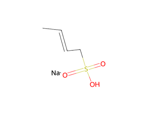 CC=CCS(=O)(=O)O.[Na]